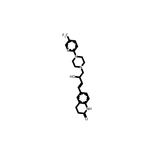 O=C1CCc2cc(C=CC(O)CN3CCN(c4ccc(C(F)(F)F)cn4)CC3)ccc2N1